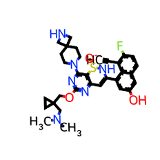 C#Cc1c(F)ccc2cc(O)cc(C3=Cc4nc(OCC5(CN(C)C)CC5)nc(N5CCC6(CC5)CNC6)c4[S+]([O-])N3)c12